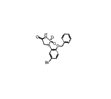 O=C1CN(c2cc(Br)ccc2OCc2ccccc2)S(=O)(=O)N1